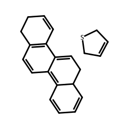 C1=CC2=c3ccc4c(c3=CCC2C=C1)C=CCC4.C1=CCSC1